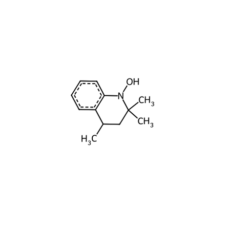 CC1CC(C)(C)N(O)c2ccccc21